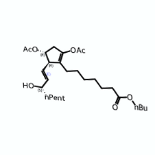 CCCCC[C@H](O)/C=C/[C@@H]1C(CCCCCCC(=O)OCCCC)=C(OC(C)=O)C[C@H]1OC(C)=O